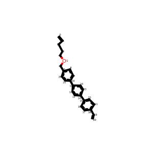 C=CCCCOCc1ccc(-c2ccc(-c3ccc(C=C)cc3)cc2)cc1